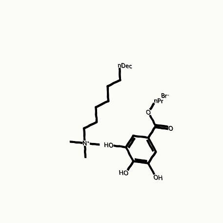 CCCCCCCCCCCCCCCC[N+](C)(C)C.CCCOC(=O)c1cc(O)c(O)c(O)c1.[Br-]